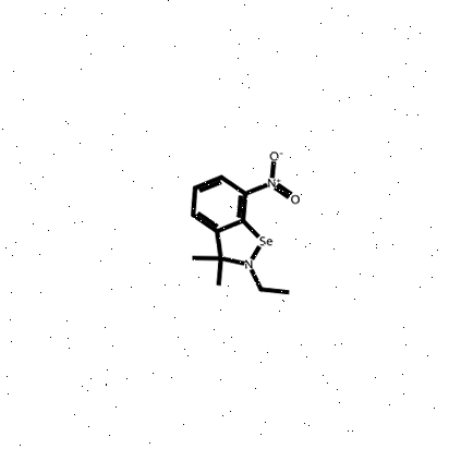 CCN1[Se]c2c([N+](=O)[O-])cccc2C1(C)C